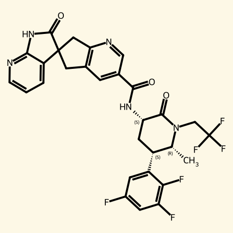 C[C@@H]1[C@H](c2cc(F)cc(F)c2F)C[C@H](NC(=O)c2cnc3c(c2)CC2(C3)C(=O)Nc3ncccc32)C(=O)N1CC(F)(F)F